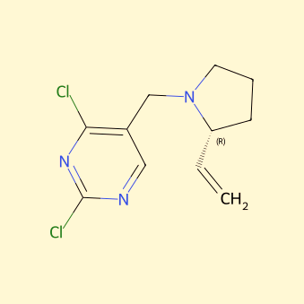 C=C[C@H]1CCCN1Cc1cnc(Cl)nc1Cl